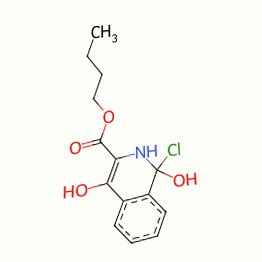 CCCCOC(=O)C1=C(O)c2ccccc2C(O)(Cl)N1